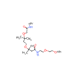 CCCNC(=O)COC(C)(C)CCOC(C)(C)CC(=O)NCCOCCOCCC